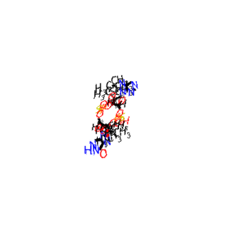 CC(C)(C)[Si](C)(C)O[C@@H]1[C@@H]2OP(O)(=S)OC[C@H]3OC(n4cnc5c(=O)[nH]ncc54)[C@H](OP(O)(=S)OC[C@H]2O[C@H]1n1cnc2cncnc21)[C@@H]3O[Si](C)(C)C(C)(C)C